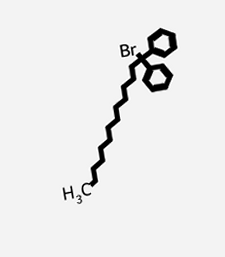 CCCCCCCCCCCCCC(Br)(c1ccccc1)c1ccccc1